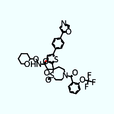 O=C(CC1(c2ccc(-c3ccc(-c4cnco4)cc3)s2)CCN(C(=O)c2ccccc2OC(F)(F)F)CCS1(=O)=O)NOC1CCCCO1